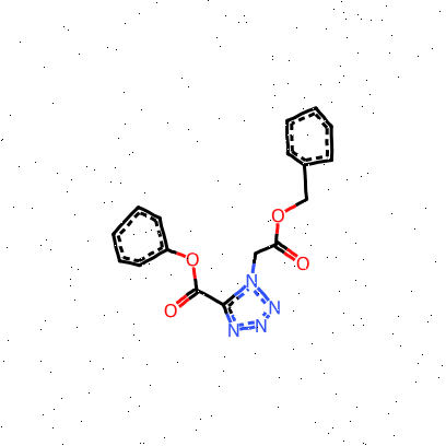 O=C(Cn1nnnc1C(=O)Oc1ccccc1)OCc1ccccc1